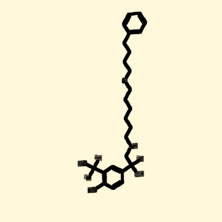 [2H]C([2H])(O)c1cc(C([2H])(O)CNCCCCCCOCCCCc2ccccc2)ccc1O